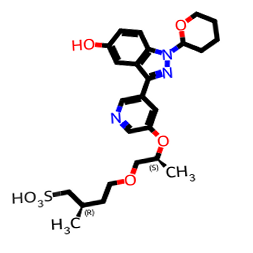 C[C@H](CCOC[C@H](C)Oc1cncc(-c2nn(C3CCCCO3)c3ccc(O)cc23)c1)CS(=O)(=O)O